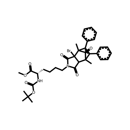 COC(=O)[C@H](CCCCN1C(=O)C2C3(C)C(=O)C(C)(C(c4ccccc4)=C3c3ccccc3)C2(Br)C1=O)NC(=O)OC(C)(C)C